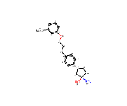 COc1cccc(OCCCc2ccc([C@@H]3CC[C@](N)(O)C3)cc2)c1